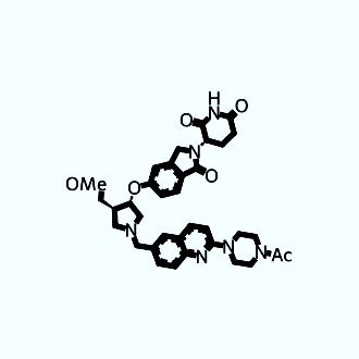 COC[C@@H]1CN(Cc2ccc3nc(N4CCN(C(C)=O)CC4)ccc3c2)C[C@H]1Oc1ccc2c(c1)CN([C@H]1CCC(=O)NC1=O)C2=O